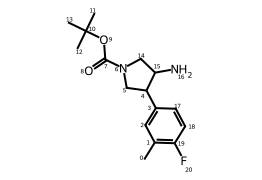 Cc1cc(C2CN(C(=O)OC(C)(C)C)CC2N)ccc1F